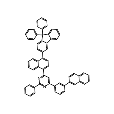 c1ccc(-c2nc(-c3cccc(-c4ccc5ccccc5c4)c3)cc(-c3ccc(-c4ccc5c(c4)-c4ccccc4C5(c4ccccc4)c4ccccc4)c4ccccc34)n2)cc1